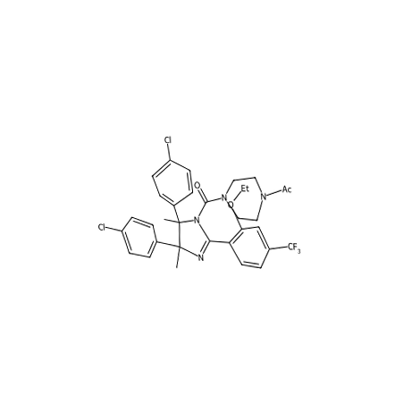 CCOc1cc(C(F)(F)F)ccc1C1=NC(C)(c2ccc(Cl)cc2)C(C)(c2ccc(Cl)cc2)N1C(=O)N1CCN(C(C)=O)CC1